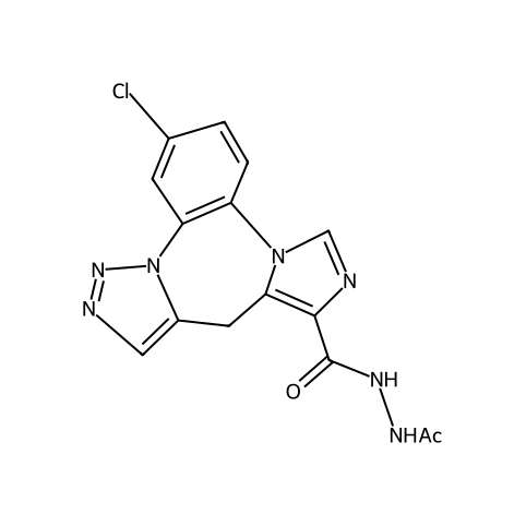 CC(=O)NNC(=O)c1ncn2c1Cc1cnnn1-c1cc(Cl)ccc1-2